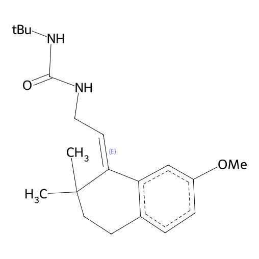 COc1ccc2c(c1)/C(=C/CNC(=O)NC(C)(C)C)C(C)(C)CC2